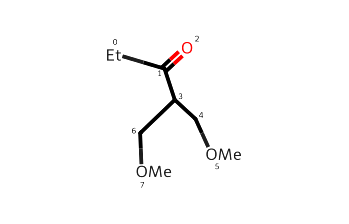 CCC(=O)C(COC)COC